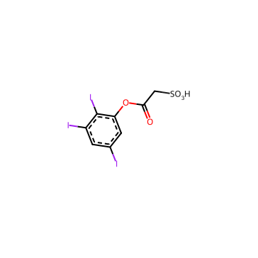 O=C(CS(=O)(=O)O)Oc1cc(I)cc(I)c1I